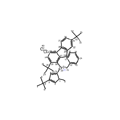 CC1C=C(C(C)(C)C)C=[C]1/[Zr+2](=[CH]/c1ccccc1)[c]1c(C(C)(C)C)ccc2c1Cc1cc(C(C)(C)C)ccc1-2.[Cl-].[Cl-]